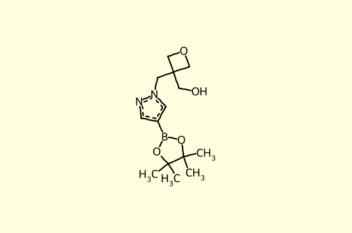 CC1(C)OB(c2cnn(CC3(CO)COC3)c2)OC1(C)C